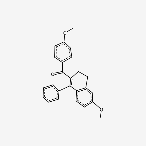 COc1ccc(C(=O)C2=C(c3ccccc3)c3ccc(OC)cc3CC2)cc1